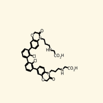 O=C(O)CNCCCN1C(=O)COc2cc(-c3cccc(-c4cccc(-c5ccc6c(c5)OCC(=O)N6CCCNCC(=O)O)c4Cl)c3Cl)ccc21